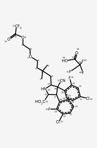 CC(C)(CCOCCOC(=O)C(F)(F)F)CC1NC(C(=O)O)C(c2cccc(Cl)c2F)C1(C#N)c1ccc(Cl)cc1F.O=C(O)C(F)(F)F